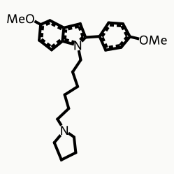 COc1ccc(-c2cc3cc(OC)ccc3n2CCCCCCN2CCCC2)cc1